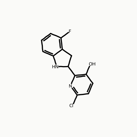 Oc1ccc(Cl)nc1C1Cc2c(F)cccc2N1